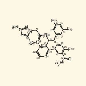 CC(C)c1cc(C(C)C)n(CC(=O)N[C@@H](Cc2cc(F)cc(F)c2)c2ncccc2-c2ccc(F)c(C(N)=O)c2)n1